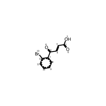 O=C(O)C=CC(=O)c1ccccc1Br